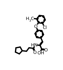 Cc1cccc(Cl)c1Oc1ccc(/C=C(\NC(=O)CCC2CCCC2)C(=O)O)cc1